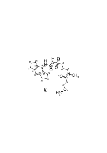 COCCC(=O)N(C)CCCS(=O)(=O)NC(=O)Nc1c2c(cc3c1CCC3)CCC2.[K]